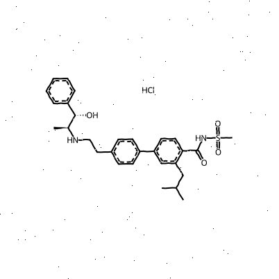 CC(C)Cc1cc(-c2ccc(CCN[C@@H](C)[C@@H](O)c3ccccc3)cc2)ccc1C(=O)NS(C)(=O)=O.Cl